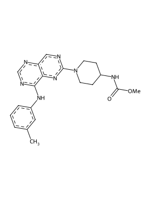 COC(=O)NC1CCN(c2ncc3ncnc(Nc4cccc(C)c4)c3n2)CC1